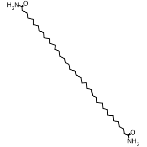 NC(=O)CCCCCCCCCCCCCCCCCCCCCCCCCCCCCCCCCCCCCCCC(N)=O